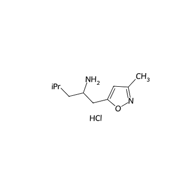 Cc1cc(CC(N)CC(C)C)on1.Cl